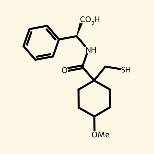 COC1CCC(CS)(C(=O)N[C@H](C(=O)O)c2ccccc2)CC1